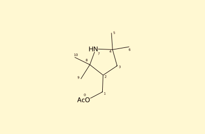 CC(=O)OCC1CC(C)(C)NC1(C)C